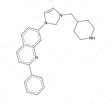 C1=CN(c2ccc3ccc(-c4ccccc4)nc3c2)CN1CC1CCNCC1